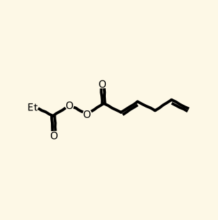 C=CCC=CC(=O)OOC(=O)CC